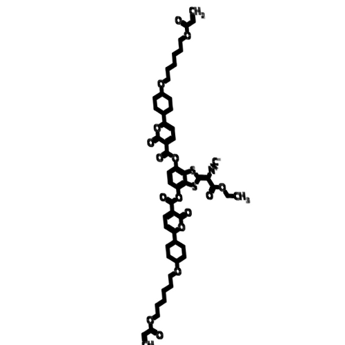 [C-]#[N+]C(C(=O)OCC)=C1Sc2c(OC(=O)c3ccc(C4CCC(OCCCCCCOC(=O)C=C)CC4)oc3=O)ccc(OC(=O)c3ccc(C4CCC(OCCCCCCOC(=O)C=C)CC4)oc3=O)c2S1